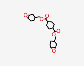 O=C(OCC1CCC2OC2C1)C1CCC(C(=O)OCC2CCC3OC3C2)CC1